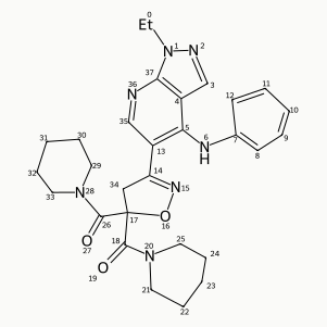 CCn1ncc2c(Nc3ccccc3)c(C3=NOC(C(=O)N4CCCCC4)(C(=O)N4CCCCC4)C3)cnc21